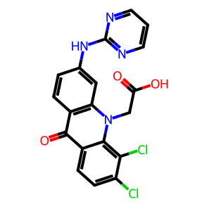 O=C(O)Cn1c2cc(Nc3ncccn3)ccc2c(=O)c2ccc(Cl)c(Cl)c21